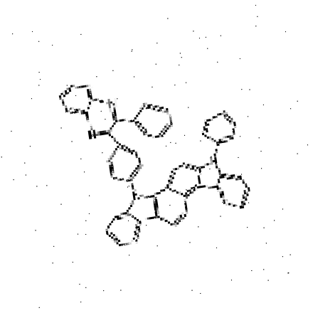 c1ccc(-c2nc3ccccc3nc2-c2ccc(-n3c4ccccc4c4ccc5c(ccc6c5c5ccccc5n6-c5ccccc5)c43)cc2)cc1